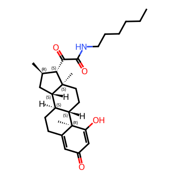 CCCCCCNC(=O)C(=O)[C@H]1[C@H](C)C[C@H]2[C@@H]3CCC4=CC(=O)C=C(O)[C@]4(C)[C@H]3CC[C@@]21C